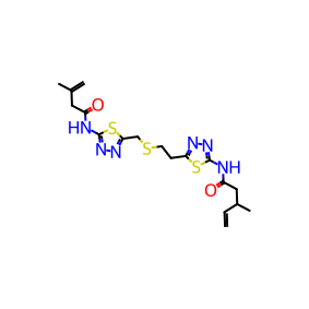 C=CC(C)CC(=O)Nc1nnc(CCSCc2nnc(NC(=O)CC(=C)C)s2)s1